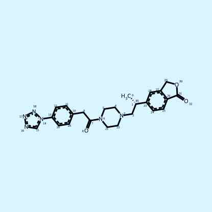 C[C@@H](CN1CCN(C(=O)Cc2ccc(-n3cnnn3)cc2)CC1)c1ccc2c(c1)COC2=O